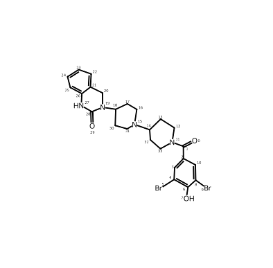 O=C(c1cc(Br)c(O)c(Br)c1)N1CCC(N2CCC(N3Cc4ccccc4NC3=O)CC2)CC1